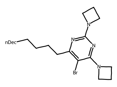 CCCCCCCCCCCCCCc1nc(N2CCC2)nc(N2CCC2)c1Br